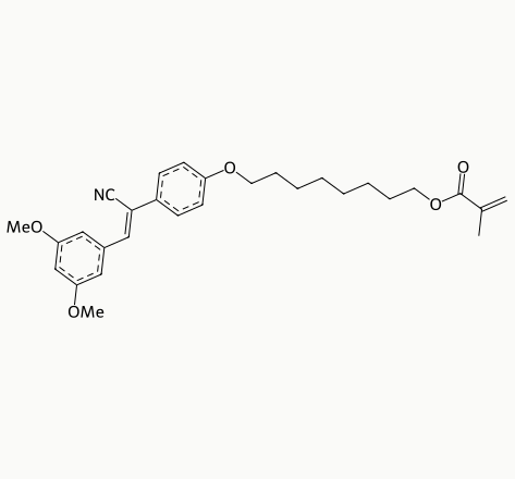 C=C(C)C(=O)OCCCCCCCCOc1ccc(C(C#N)=Cc2cc(OC)cc(OC)c2)cc1